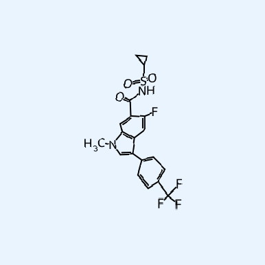 Cn1cc(-c2ccc(C(F)(F)F)cc2)c2cc(F)c(C(=O)NS(=O)(=O)C3CC3)cc21